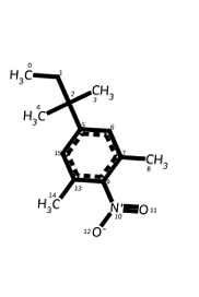 CCC(C)(C)c1cc(C)c([N+](=O)[O-])c(C)c1